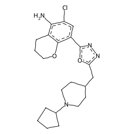 Nc1c(Cl)cc(-c2nnc(CC3CCN(C4CCCC4)CC3)o2)c2c1CCCO2